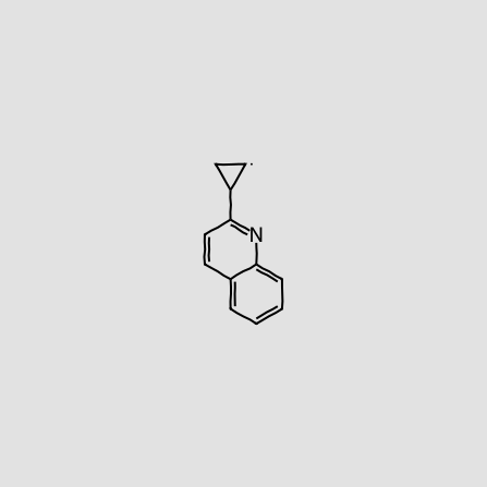 [CH]1CC1c1ccc2ccccc2n1